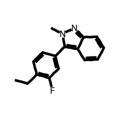 CCc1ccc(-c2c3ccccc3nn2C)cc1F